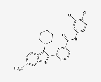 O=C(O)c1ccc2c(c1)nc(-c1cccc(C(=O)Nc3ccc(Cl)c(Cl)c3)c1)n2C1CCCCC1